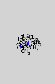 Cc1ccc2c(c1)N(c1cc(C(C)(C)C)cc(C(C)(C)C)c1)c1cc(C)cc3c1B2c1cc(C)cc2c1N3C1(C)CCCCC21C